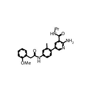 COc1ccccc1CC(=O)Nc1ccc(-c2cnc(N)c(C(=O)NC(C)C)c2)c(C)c1